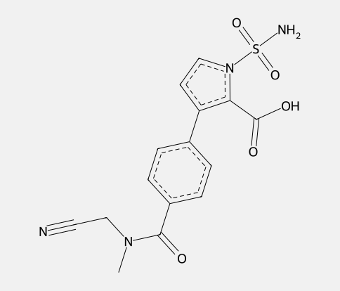 CN(CC#N)C(=O)c1ccc(-c2ccn(S(N)(=O)=O)c2C(=O)O)cc1